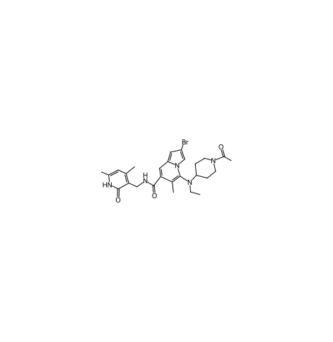 CCN(c1c(C)c(C(=O)NCc2c(C)cc(C)[nH]c2=O)cc2cc(Br)cn12)C1CCN(C(C)=O)CC1